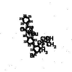 C=C(O)C(C)(C)Oc1ccc(Br)cc1-c1ccc(CN2C(=O)C(c3ccccc3)N=C2CCCC)cc1